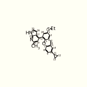 CCSc1ccc(Oc2ccc(C3CC3)cc2F)c(-c2cc(C)nc3[nH]ccc23)c1